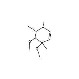 COC1C(C)C(C)C=CC1(C)OC